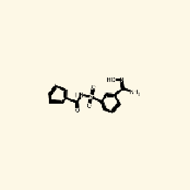 N/C(=N/O)c1cccc(S(=O)(=O)NC(=O)c2ccccc2)c1